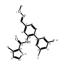 CON=Cc1ccc(-c2cc(F)cc(F)c2)c(NC(=O)c2sccc2C)c1